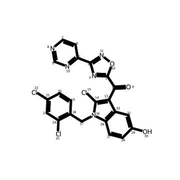 O=C(c1nc(-c2ccncn2)no1)c1c(Cl)n(Cc2ccc(Cl)cc2Cl)c2ccc(O)cc12